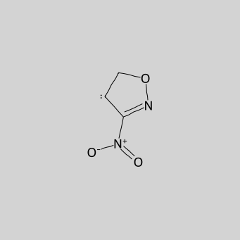 O=[N+]([O-])C1=NOC[C]1